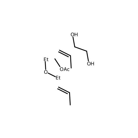 C=CC.C=CC.CCOCC.COC(C)=O.OCCO